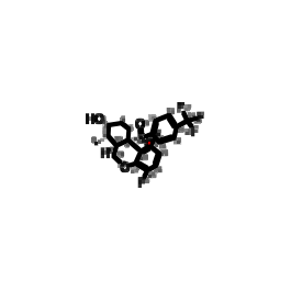 C[C@@H]1[C@H](O)CC[C@@]2(S(=O)(=O)c3ccc(C(F)(F)F)cc3)c3c(F)ccc(F)c3OC[C@@H]12